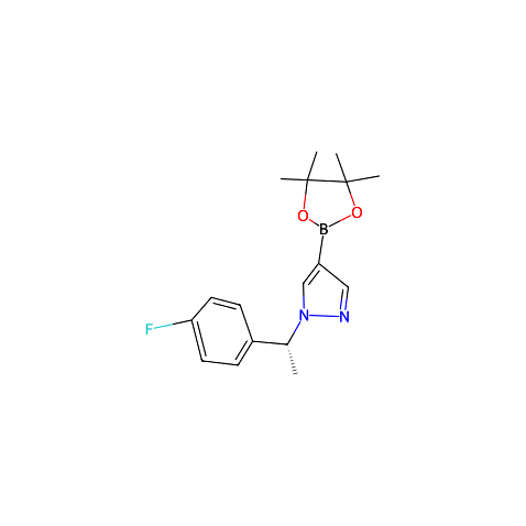 C[C@H](c1ccc(F)cc1)n1cc(B2OC(C)(C)C(C)(C)O2)cn1